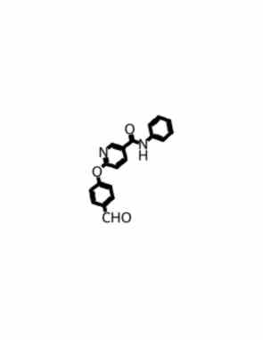 O=Cc1ccc(Oc2ccc(C(=O)Nc3ccccc3)cn2)cc1